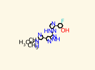 CC(C)(C)CCNc1cncc(-c2cnc3[nH]nc(-c4nc5c(-c6cc(O)cc(F)c6)nccc5[nH]4)c3c2)c1